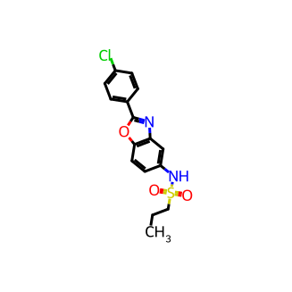 CCCS(=O)(=O)Nc1ccc2oc(-c3ccc(Cl)cc3)nc2c1